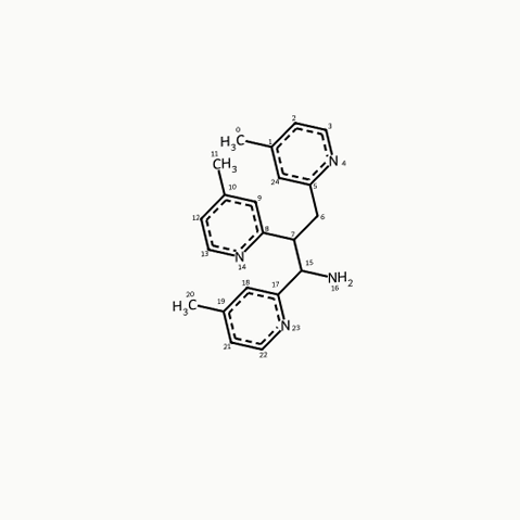 Cc1ccnc(CC(c2cc(C)ccn2)C(N)c2cc(C)ccn2)c1